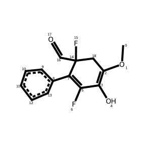 COC1=C(O)C(F)=C(c2ccccc2)C(F)(C=O)C1